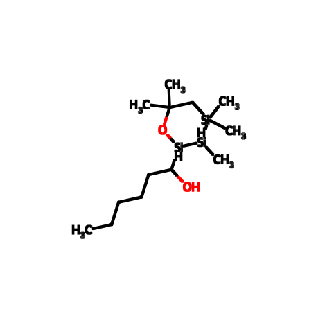 CCCCCC(O)[SiH]1OC(C)(C)C[Si](C)(C)[SiH]1C